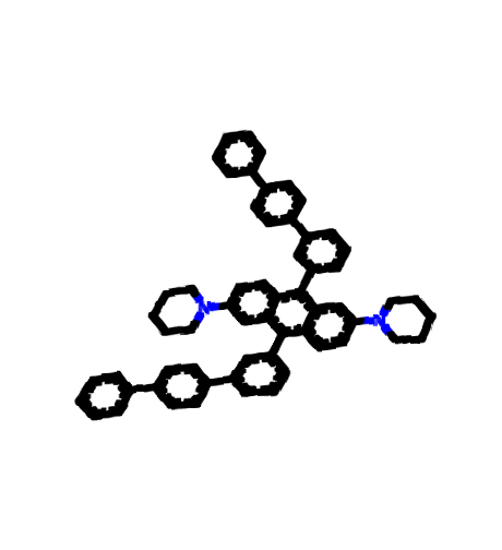 c1ccc(-c2ccc(-c3cccc(-c4c5ccc(N6CCCCC6)cc5c(-c5cccc(-c6ccc(-c7ccccc7)cc6)c5)c5ccc(N6CCCCC6)cc45)c3)cc2)cc1